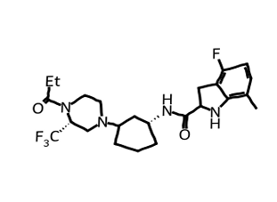 CCC(=O)N1CCN(C2CCC[C@@H](NC(=O)C3Cc4c(F)ccc(C)c4N3)C2)C[C@@H]1C(F)(F)F